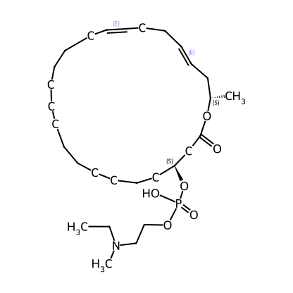 CCN(C)CCOP(=O)(O)O[C@H]1CCCCCCCCCCCC/C=C/CC/C=C/C[C@H](C)OC(=O)C1